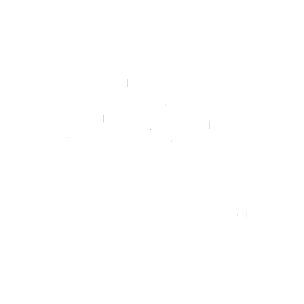 CCCCCC(OCC1CO1)C([SiH3])(OC)OC